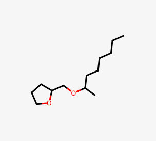 CCCCCCC(C)OCC1CCCO1